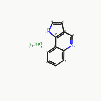 Cl.Cl.[H+].c1ccc2c(c1)ncc1cc[nH]c12